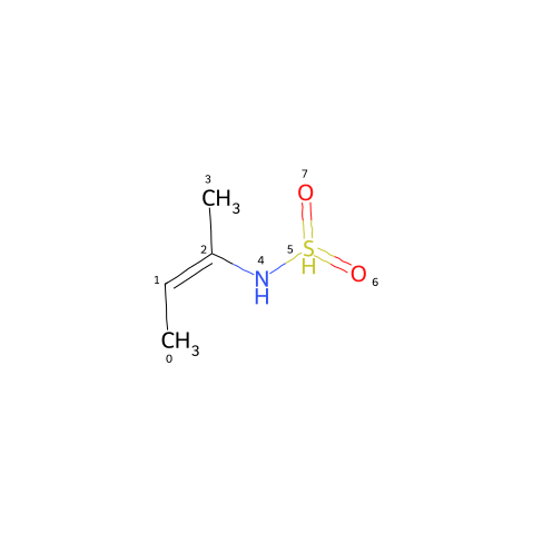 CC=C(C)N[SH](=O)=O